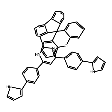 C1=C(c2ccc(-c3ccc[nH]3)cc2)NC(c2cccc3c2C2(c4ccccc4Oc4ccccc42)c2ccccc2-3)N=C1c1ccc(-c2ccc[nH]2)cc1